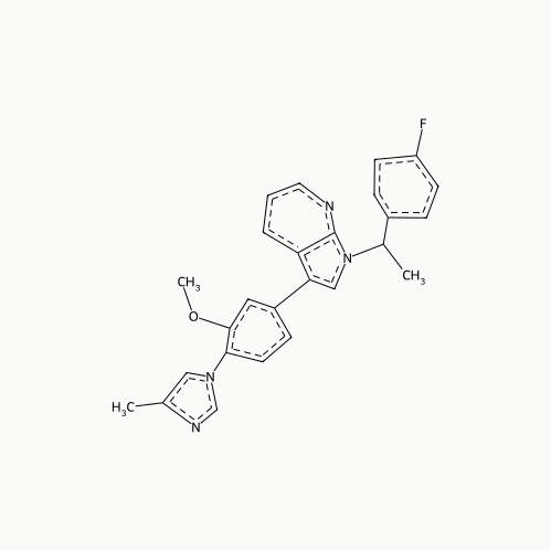 COc1cc(-c2cn(C(C)c3ccc(F)cc3)c3ncccc23)ccc1-n1cnc(C)c1